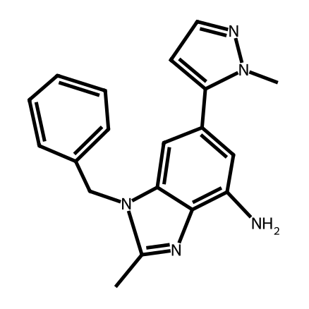 Cc1nc2c(N)cc(-c3ccnn3C)cc2n1Cc1ccccc1